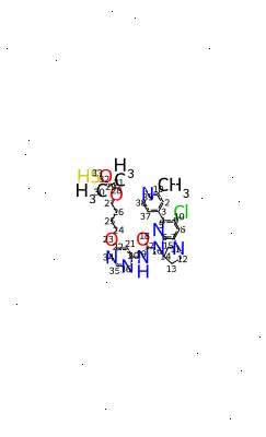 Cc1cc(-c2nc3c(cc2Cl)N2CCC(C2)N3C(=O)Nc2cc(OCCCCOC(C)(C)OS)ncn2)ccn1